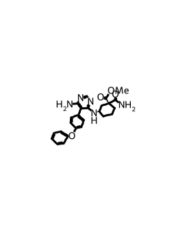 COC(=O)[C@@]1(C(N)=O)CCC[C@H](Nc2ncnc(N)c2-c2ccc(Oc3ccccc3)cc2)C1